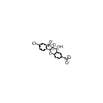 O=[N+]([O-])c1ccc2c(c1)[C@H](O)[C@@](Cl)([N+](=O)[O-])[C@H](c1ccc(Cl)cc1)O2